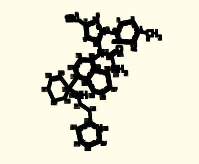 Cc1ccc(-n2nc(C(C)(C)C)cc2N(C(N)=O)c2ccc(C3(NCCc4ccccn4)C=CCCC3)c3ccccc23)cn1